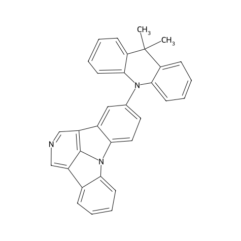 CC1(C)c2ccccc2N(c2ccc3c(c2)c2cncc4c5ccccc5n3c42)c2ccccc21